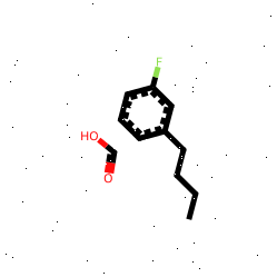 CCCCc1cccc(F)c1.O=CO